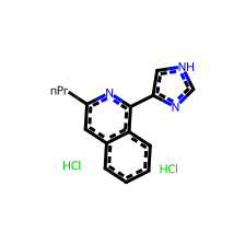 CCCc1cc2ccccc2c(-c2c[nH]cn2)n1.Cl.Cl